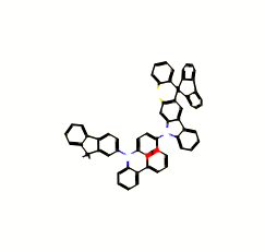 CC1(C)c2ccccc2-c2ccc(N(c3ccc(-n4c5ccccc5c5cc6c(cc54)Sc4ccccc4C64c5ccccc5-c5ccccc54)cc3)c3ccccc3-c3ccccc3)cc21